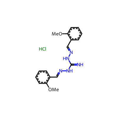 COc1ccccc1C=NNC(=N)NN=Cc1ccccc1OC.Cl